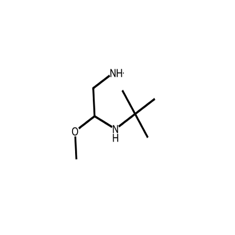 COC(C[NH])NC(C)(C)C